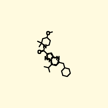 COC1CCN(C(=O)c2cc3nc(CC4CCCCC4)cc(C(C)C)n3n2)C(C)(C)C1